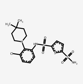 CC1(C)CCN(c2c(Cl)cccc2NS(=O)(=O)c2ccc(S(N)(=O)=O)s2)CC1